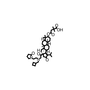 CC(C)C1=C2[C@H]3CC[C@@H]4[C@@]5(C)CC[C@H](OC(=O)CC(C)(C)C(=O)O)C(C)(C)[C@@H]5CC[C@@]4(C)[C@]3(C)CC[C@@]2([C@@H](O)CN(CCN2CCCC2=O)CC2CCC2)CC1=O